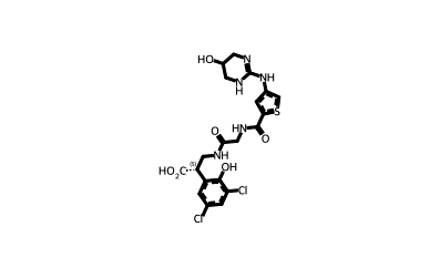 O=C(CNC(=O)c1cc(NC2=NCC(O)CN2)cs1)NC[C@@H](C(=O)O)c1cc(Cl)cc(Cl)c1O